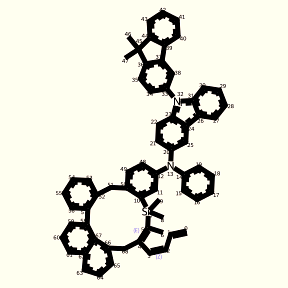 C=C/C=C\C1=C(/C)[Si](C)(C)c2cc(N(c3ccccc3)c3ccc4c(c3)c3ccccc3n4-c3ccc4c(c3)-c3ccccc3C4(C)C)ccc2Cc2ccccc2-c2cccc3cccc(c23)C1